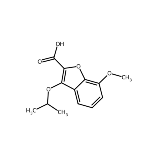 COc1cccc2c(OC(C)C)c(C(=O)O)oc12